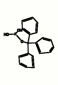 OP(O)OC(c1ccccc1)(c1ccccc1)c1ccccc1